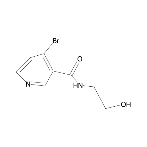 O=C(NCCO)c1cnccc1Br